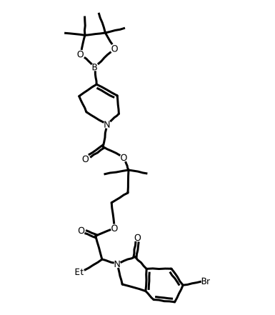 CCC(C(=O)OCCC(C)(C)OC(=O)N1CC=C(B2OC(C)(C)C(C)(C)O2)CC1)N1Cc2ccc(Br)cc2C1=O